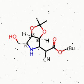 CC(C)(C)OC(=O)C(C#N)C1N[C@H](CO)[C@H]2OC(C)(C)O[C@@H]12